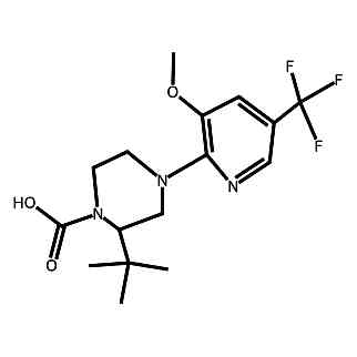 COc1cc(C(F)(F)F)cnc1N1CCN(C(=O)O)C(C(C)(C)C)C1